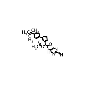 CC(=O)OC(C(=O)Nc1cnc(C#N)nc1)c1cccc(-c2ccc(C(C)(C)C)cc2)c1